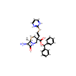 NC1C(=O)N2CC(C=CSc3ncccn3)(C(=O)OC(c3ccccc3)c3ccccc3)CS[C@H]12